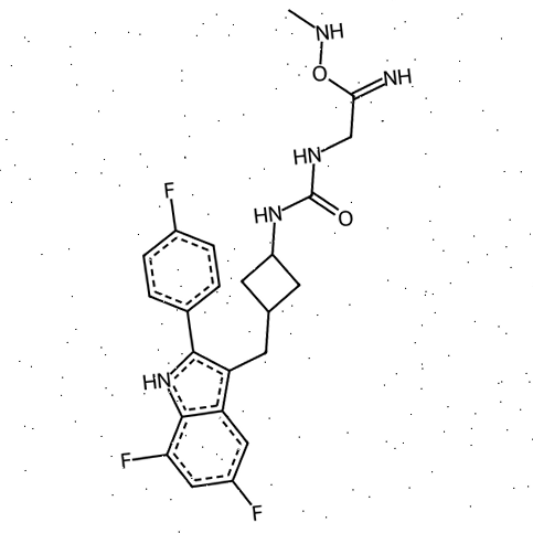 CNOC(=N)CNC(=O)NC1CC(Cc2c(-c3ccc(F)cc3)[nH]c3c(F)cc(F)cc23)C1